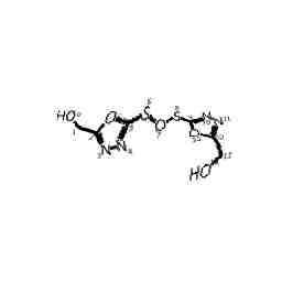 OCc1nnc(SOSc2nnc(CO)o2)o1